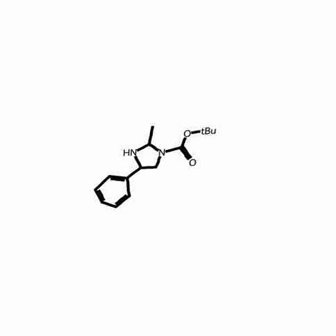 CC1NC(c2ccccc2)CN1C(=O)OC(C)(C)C